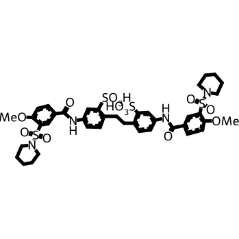 COc1ccc(C(=O)Nc2ccc(CCc3ccc(NC(=O)c4ccc(OC)c(S(=O)(=O)N5CCCCC5)c4)cc3S(=O)(=O)O)c(S(=O)(=O)O)c2)cc1S(=O)(=O)N1CCCCC1